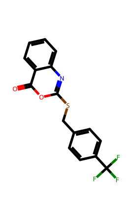 O=c1oc(SCc2ccc(C(F)(F)F)cc2)nc2ccccc12